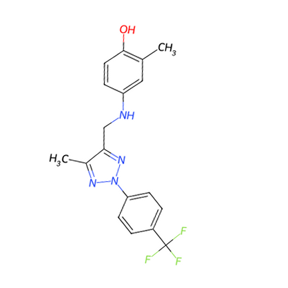 Cc1cc(NCc2nn(-c3ccc(C(F)(F)F)cc3)nc2C)ccc1O